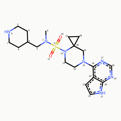 CN(CC1CCNCC1)S(=O)(=O)N1CCN(c2ncnc3[nH]ccc23)CC12CC2